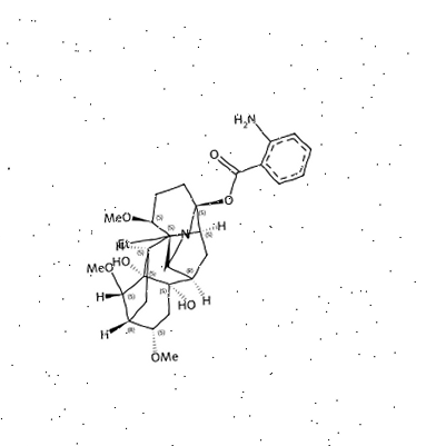 CCN1C[C@]2(OC(=O)c3ccccc3N)CC[C@H](OC)[C@]34C1[C@@H](C[C@H]23)[C@@]1(O)C[C@H](OC)[C@H]2C[C@@H]4[C@]1(O)[C@H]2OC